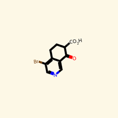 O=C(O)C1CCc2c(Br)cncc2C1=O